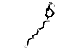 Nc1ccc(NCCOCCOCCO)cc1